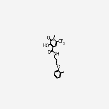 Cc1ccccc1OCCCNC(=O)c1cc(C(F)(F)F)n(C)c(=O)c1O